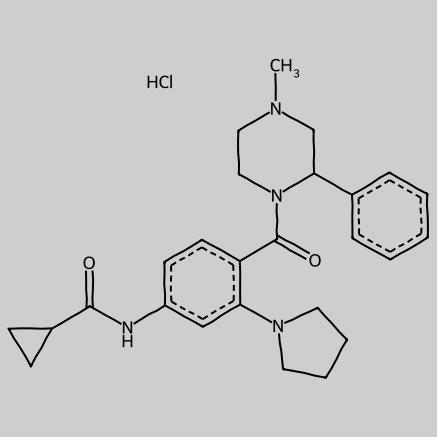 CN1CCN(C(=O)c2ccc(NC(=O)C3CC3)cc2N2CCCC2)C(c2ccccc2)C1.Cl